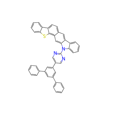 c1ccc(-c2cc(-c3ccccc3)cc(-c3cnc(-n4c5ccccc5c5cc6ccc7c8ccccc8sc7c6cc54)nc3)c2)cc1